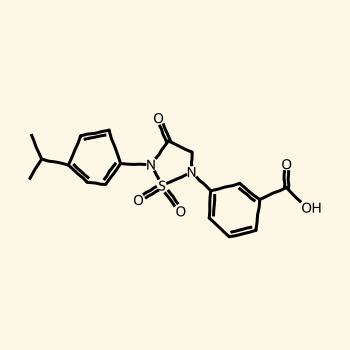 CC(C)c1ccc(N2C(=O)CN(c3cccc(C(=O)O)c3)S2(=O)=O)cc1